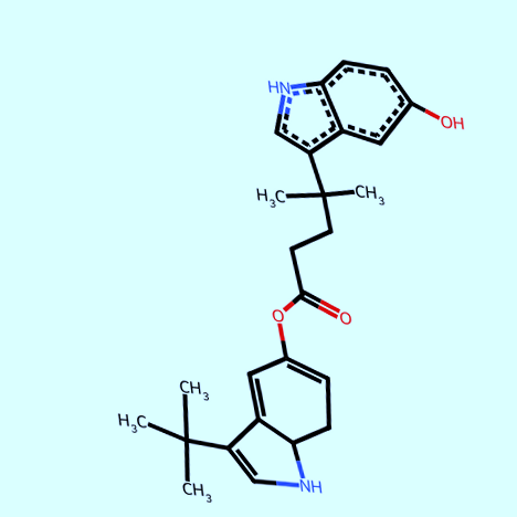 CC(C)(C)C1=CNC2CC=C(OC(=O)CCC(C)(C)c3c[nH]c4ccc(O)cc34)C=C12